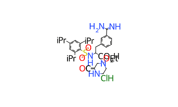 CC(C)c1cc(C(C)C)c(S(=O)(=O)NC(Cc2cccc(C(=N)N)c2)C(=O)O)c(C(C)C)c1.CCON1CCNC(=C=O)C1.Cl